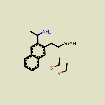 CC(N)c1cc2ccccc2cc1C[CH2][SnH+2].CC[S-].CC[S-]